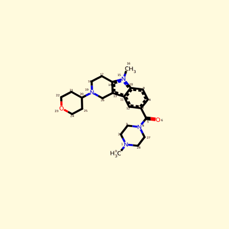 CN1CCN(C(=O)c2ccc3c(c2)c2c(n3C)CCN(C3CCOCC3)C2)CC1